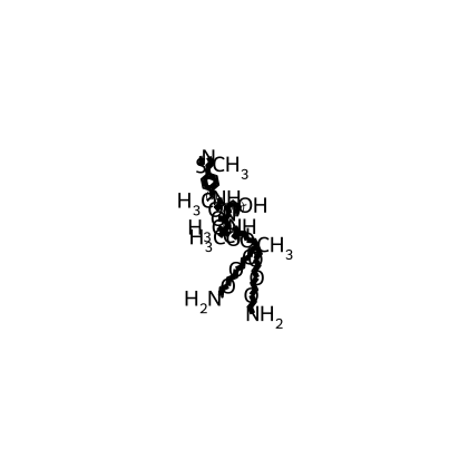 Cc1ncsc1-c1ccc([C@H](C)NC(=O)[C@@H]2C[C@H](O)CN2C(=O)[C@@H](NC(=O)COCC(C)(COCCOCCOCCN)COCCOCCOCCN)C(C)(C)C)cc1